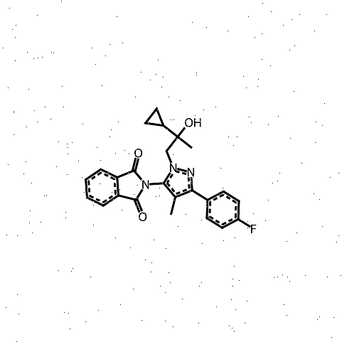 Cc1c(-c2ccc(F)cc2)nn(CC(C)(O)C2CC2)c1N1C(=O)c2ccccc2C1=O